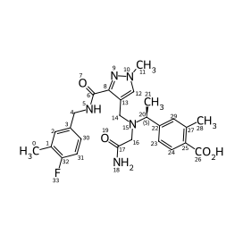 Cc1cc(CNC(=O)c2nn(C)cc2CN(CC(N)=O)[C@@H](C)c2ccc(C(=O)O)c(C)c2)ccc1F